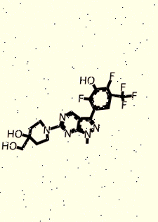 Cn1nc(-c2cc(C(F)(F)F)c(F)c(O)c2F)c2cnc(N3CCC(O)(CO)CC3)nc21